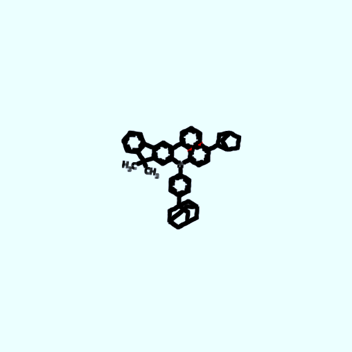 CC1(C)c2ccccc2-c2cc(-c3ccccc3)c(N(c3ccc(C4CC5CCC4C5)cc3)c3ccc(C45CC6CC(CC(C6)C4)C5)cc3)cc21